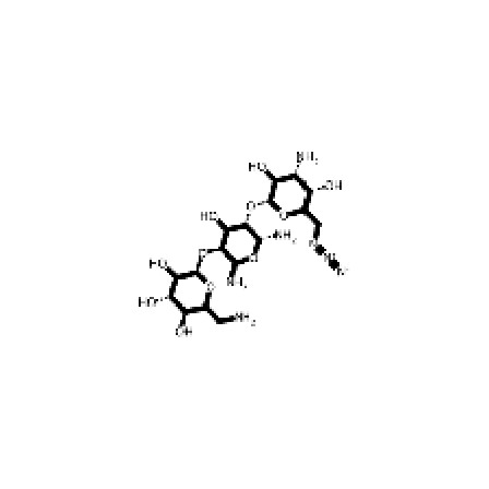 [N-]=[N+]=NCC1O[C@H](O[C@H]2C(O)[C@H](O[C@H]3OC(CN)[C@@H](O)[C@H](O)C3O)C(N)O[C@H]2N)C(O)[C@H](N)[C@@H]1O